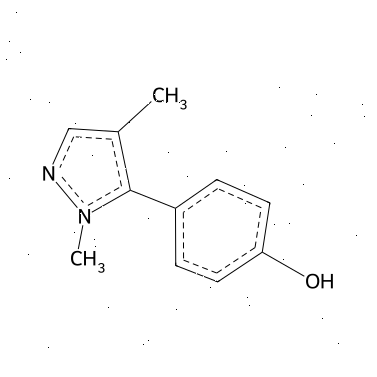 Cc1cnn(C)c1-c1ccc(O)cc1